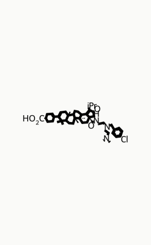 CC(C)C1=C2C3CCC4[C@@]5(C)CC=C(C6=CC[C@H](C(=O)O)CC6)C(C)(C)C5CC[C@@]4(C)[C@]3(C)CC[C@@]2(C(=O)NCCN(CCN(C)C)Cc2ccc(Cl)cc2)CC1=O